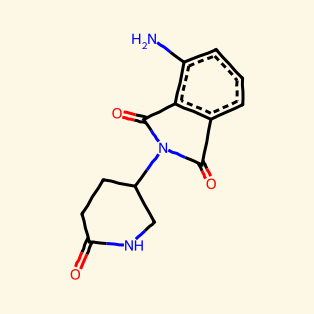 Nc1cccc2c1C(=O)N(C1CCC(=O)NC1)C2=O